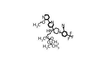 CCOc1ncccc1-c1ccc(C2(NCCN(C)C(=O)OC(C)(C)C)CCN(c3ccc(C(F)(F)F)cc3C#N)CC2)cn1